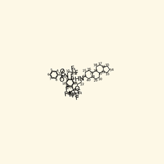 O=S(=O)(c1ccccc1)N(CC(F)(F)F)c1ccc(C(OCCNC2CCC3C(CCC4C5CCCC5CCC34)C2)(C(F)(F)F)C(F)(F)F)cc1